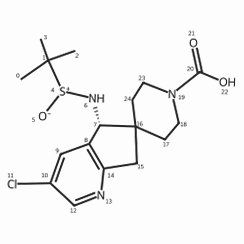 CC(C)(C)[S+]([O-])N[C@H]1c2cc(Cl)cnc2CC12CCN(C(=O)O)CC2